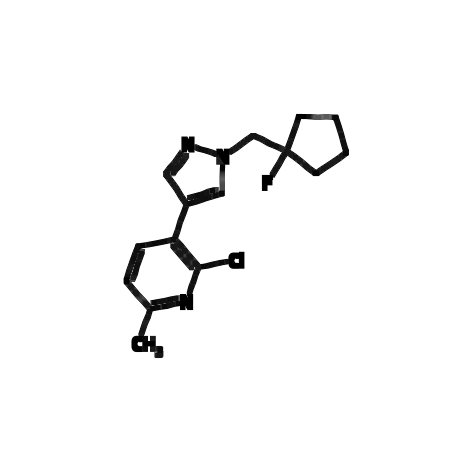 Cc1ccc(-c2cnn(CC3(F)CCCC3)c2)c(Cl)n1